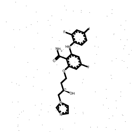 NC(=O)c1c(Nc2ccc(I)cc2F)cc(F)cc1OCC[C@@H](O)Cn1ccnc1